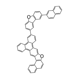 c1ccc2cc(-c3ccc4oc5ccc(-c6ccc7c(c6)c6ccccc6c6cc8c(cc76)oc6ccc7ccccc7c68)cc5c4c3)ccc2c1